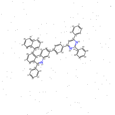 c1ccc(-c2cc(-c3ccc(-c4ccc5c(c4)nc(-c4ccccc4)c4cccc(-c6cccc7ccccc67)c45)cc3)nc(-c3ccccc3)n2)cc1